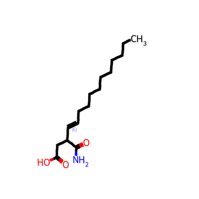 CCCCCCCCCC/C=C/C(CC(=O)O)C(N)=O